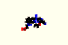 CCC(C)Oc1nc(Nc2cc3cccc(NCCO)c3cn2)cnc1C#N